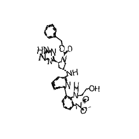 O=C(OCc1ccccc1)N1C[C@@H](Nc2cccc(-c3cccc([N+](=O)[O-])c3NCCO)n2)C[C@H]1c1nn[nH]n1